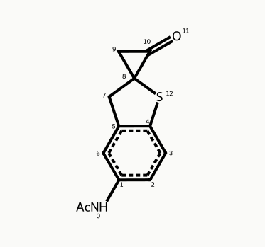 CC(=O)Nc1ccc2c(c1)CC1(CC1=O)S2